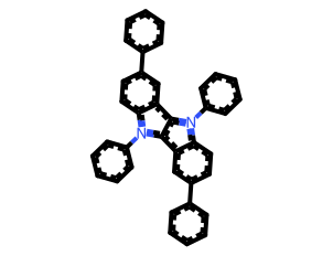 c1ccc(-c2ccc3c(c2)c2c(c4cc(-c5ccccc5)ccc4n2-c2ccccc2)n3-c2ccccc2)cc1